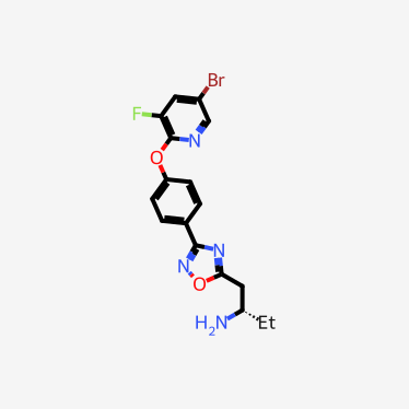 CC[C@H](N)Cc1nc(-c2ccc(Oc3ncc(Br)cc3F)cc2)no1